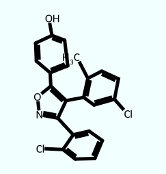 Cc1ccc(Cl)cc1-c1c(-c2ccccc2Cl)noc1-c1ccc(O)cc1